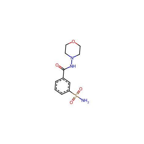 NS(=O)(=O)c1cccc(C(=O)NN2CCOCC2)c1